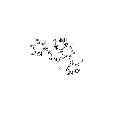 Cc1noc(C)c1-c1ccc2c3c1OCC(c1ccccn1)N3CN2